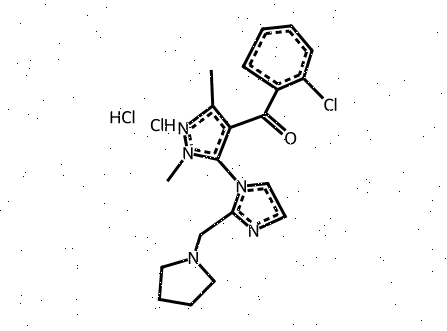 Cc1nn(C)c(-n2ccnc2CN2CCCC2)c1C(=O)c1ccccc1Cl.Cl.Cl